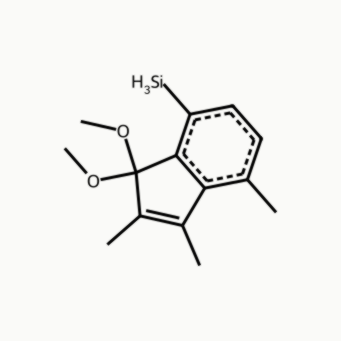 COC1(OC)C(C)=C(C)c2c(C)ccc([SiH3])c21